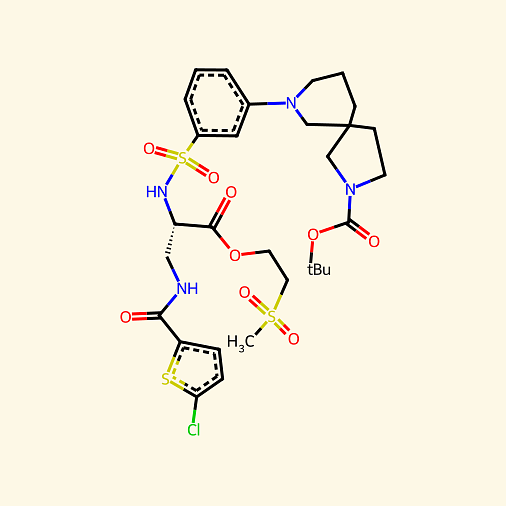 CC(C)(C)OC(=O)N1CCC2(CCCN(c3cccc(S(=O)(=O)N[C@@H](CNC(=O)c4ccc(Cl)s4)C(=O)OCCS(C)(=O)=O)c3)C2)C1